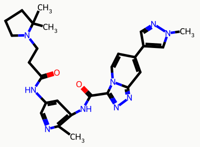 Cc1ncc(NC(=O)CCN2CCCC2(C)C)cc1NC(=O)c1nnc2cc(-c3cnn(C)c3)ccn12